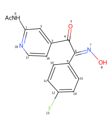 CC(=O)Nc1cc(C(=O)/C(=N/O)c2ccc(F)cc2)ccn1